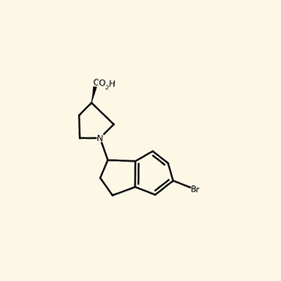 O=C(O)[C@@H]1CCN(C2CCc3cc(Br)ccc32)C1